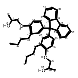 CCCCc1cc(C2(c3ccc(OCC(C)O)c(CCCC)c3)c3ccccc3-c3ccccc32)ccc1OCC(C)O